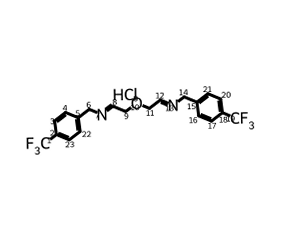 Cl.FC(F)(F)c1ccc(CN=CCOCC=NCc2ccc(C(F)(F)F)cc2)cc1